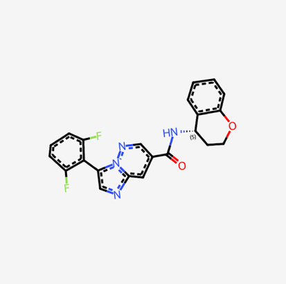 O=C(N[C@H]1CCOc2ccccc21)c1cnn2c(-c3c(F)cccc3F)cnc2c1